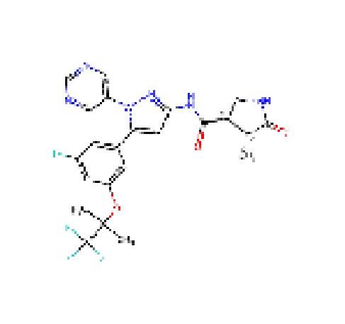 C[C@H]1C(=O)NC[C@@H]1C(=O)Nc1cc(-c2cc(F)cc(OC(C)(C)C(F)(F)F)c2)n(-c2cncnc2)n1